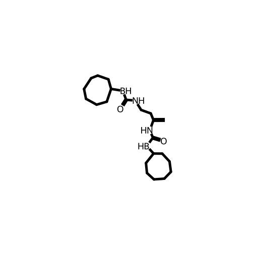 C=C(CCNC(=O)BC1CCCCCCC1)NC(=O)BC1CCCCCCC1